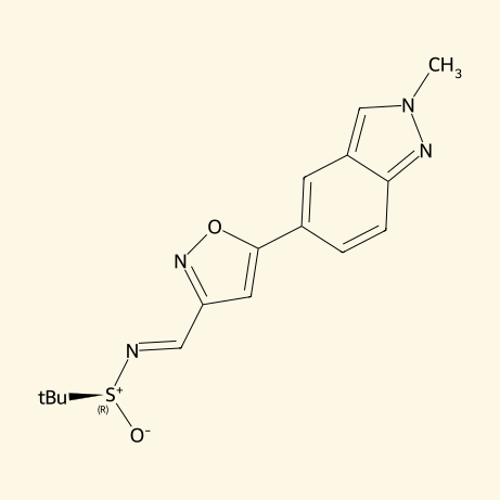 Cn1cc2cc(-c3cc(C=N[S@@+]([O-])C(C)(C)C)no3)ccc2n1